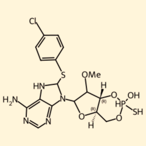 COC1C(N2c3ncnc(N)c3NC2Sc2ccc(Cl)cc2)O[C@@H]2CO[PH](O)(S)O[C@@H]12